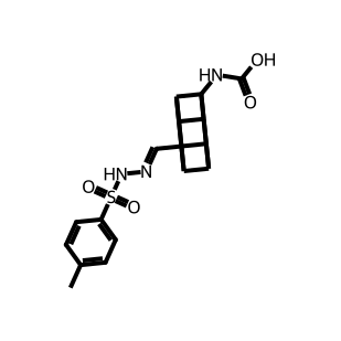 Cc1ccc(S(=O)(=O)NN=CC23C4C5C2C2C3C4C52NC(=O)O)cc1